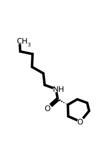 CCCCCCNC(=O)[C@@H]1CCCOC1